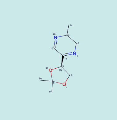 CC1CN=C([C@H]2COC(C)(C)O2)C=N1